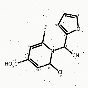 N#CC(c1ccco1)N1C(Cl)=CC(C(=O)O)=CC1Cl